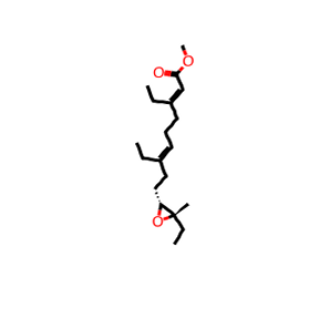 CC/C(=C\C(=O)OC)CC/C=C(\CC)CC[C@H]1O[C@@]1(C)CC